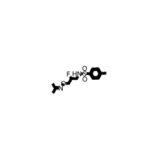 CC(C)=NOCC(F)CNS(=O)(=O)c1ccc(C)cc1